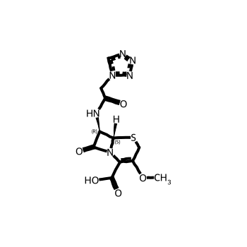 COC1=C(C(=O)O)N2C(=O)[C@@H](NC(=O)Cn3cnnn3)[C@@H]2SC1